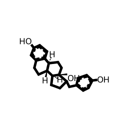 C[C@]12CC[C@@H]3c4ccc(O)cc4CC[C@H]3[C@@H]1CC[C@@]2(O)Cc1ccc(O)cc1